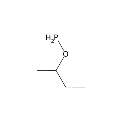 CCC(C)OP